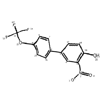 O=[N+]([O-])c1cc(-c2ccc(OC(F)(F)F)cc2)ccc1O